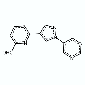 O=Cc1cccc(-c2cnn(-c3cncnc3)c2)n1